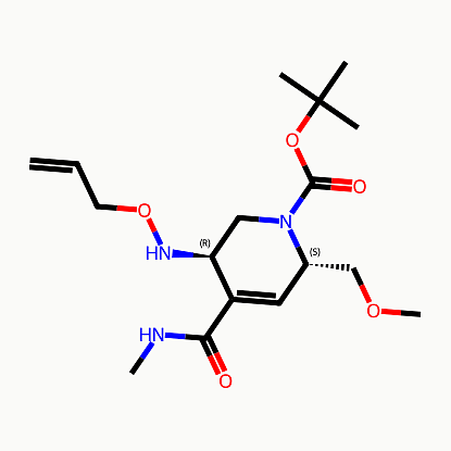 C=CCON[C@H]1CN(C(=O)OC(C)(C)C)[C@H](COC)C=C1C(=O)NC